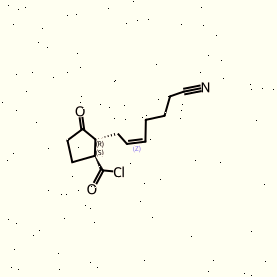 N#CCCC/C=C\C[C@H]1C(=O)CC[C@@H]1C(=O)Cl